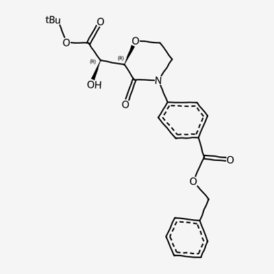 CC(C)(C)OC(=O)[C@H](O)[C@H]1OCCN(c2ccc(C(=O)OCc3ccccc3)cc2)C1=O